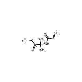 C=CC(=O)NC(C)(C)C(=O)CC